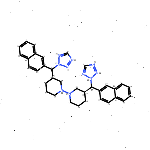 c1ccc2cc(C([C@@H]3CCCN(N4CCC[C@H](C(c5ccc6ccccc6c5)n5ncnn5)C4)C3)n3ncnn3)ccc2c1